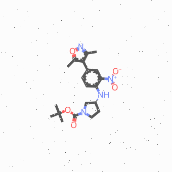 Cc1noc(C)c1-c1ccc(N[C@@H]2CCN(C(=O)OC(C)(C)C)C2)c([N+](=O)[O-])c1